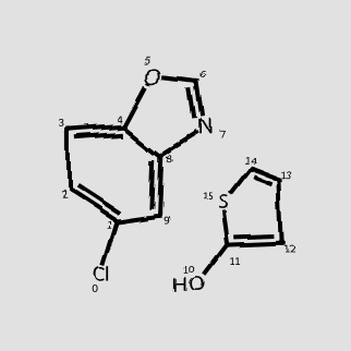 Clc1ccc2ocnc2c1.Oc1cccs1